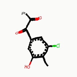 Cc1c(O)cc(C(=O)C(=O)C(C)C)cc1Cl